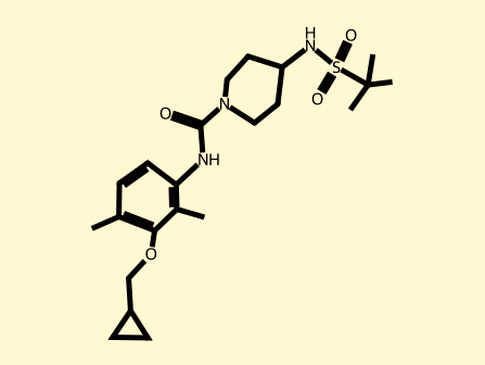 Cc1ccc(NC(=O)N2CCC(NS(=O)(=O)C(C)(C)C)CC2)c(C)c1OCC1CC1